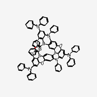 c1ccc(N(c2ccccc2)c2cc3c4c(c2)Oc2c(sc5ccccc25)B4c2cc4c(cc2O3)N(c2ccccc2)c2cc(N(c3ccccc3)c3ccccc3)cc3c2B4c2cc4c(cc2O3)N(c2ccccc2)c2cc(N(c3ccccc3)c3ccccc3)cc3c2B4c2sc4ccccc4c2O3)cc1